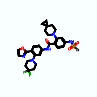 CCS(=O)(=O)Nc1ccc(C(=O)Nc2ccc(-c3ncco3)c(N3CCC(F)(F)CC3)c2)c(N2CCC3(CC2)CC3)c1